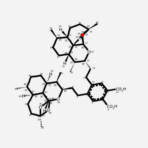 C[C@H]1[C@@H](CCc2cc(C(=O)O)c(C(=O)O)cc2CC[C@H]2O[C@@H]3O[C@]4(C)CC[C@H]5[C@H](C)CC[C@@H]([C@H]2C)[C@@]35OO4)O[C@@H]2O[C@]3(C)CC[C@H]4[C@H](C)CC[C@@H]1[C@@]24OO3